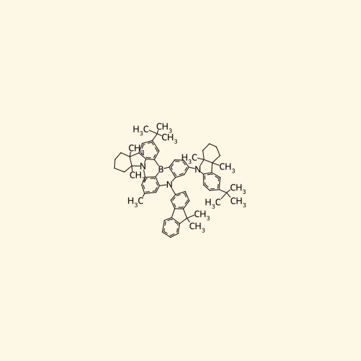 Cc1cc2c3c(c1)N1c4c(cc(C(C)(C)C)cc4C4(C)CCCCC14C)B3c1ccc(N3c4ccc(C(C)(C)C)cc4C4(C)CCCCC34C)cc1N2c1ccc2c(c1)-c1ccccc1C2(C)C